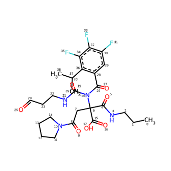 CCCNC(=O)C(CC(=O)N1CCCC1)(C(=O)O)N(C(=O)NCCC=O)C(=O)c1cc(F)c(F)c(F)c1C(C)C